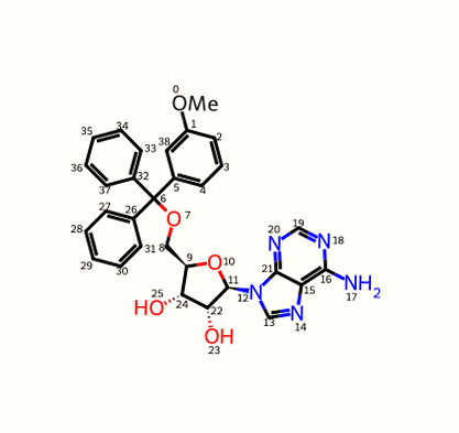 COc1cccc(C(OC[C@H]2O[C@@H](n3cnc4c(N)ncnc43)[C@H](O)[C@@H]2O)(c2ccccc2)c2ccccc2)c1